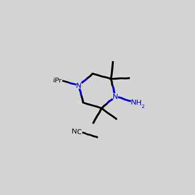 CC#N.CC(C)N1CC(C)(C)N(N)C(C)(C)C1